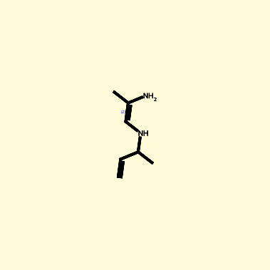 C=CC(C)N/C=C(/C)N